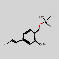 COc1cc(/C=C/C(C)=O)ccc1CO[Si](C)(C)C(C)(C)C